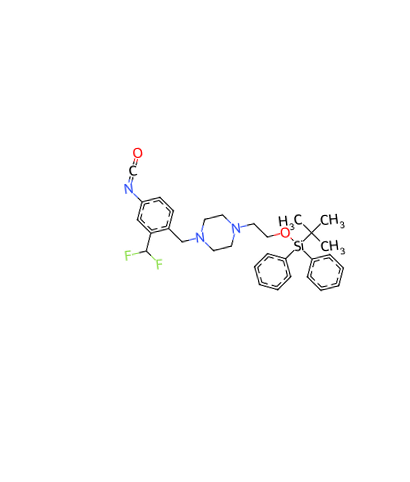 CC(C)(C)[Si](OCCN1CCN(Cc2ccc(N=C=O)cc2C(F)F)CC1)(c1ccccc1)c1ccccc1